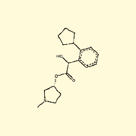 CN1CC[C@@H](OC(=O)C(O)c2ccccc2C2CCCC2)C1